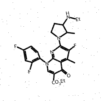 CCNC1CCN(c2nc3c(c(C)c2F)c(=O)c(C(=O)OCC)cn3-c2ccc(F)cc2F)C1C